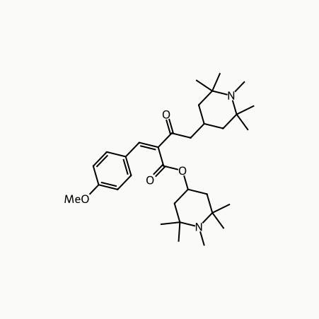 COc1ccc(/C=C(/C(=O)CC2CC(C)(C)N(C)C(C)(C)C2)C(=O)OC2CC(C)(C)N(C)C(C)(C)C2)cc1